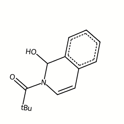 CC(C)(C)C(=O)N1C=Cc2ccccc2C1O